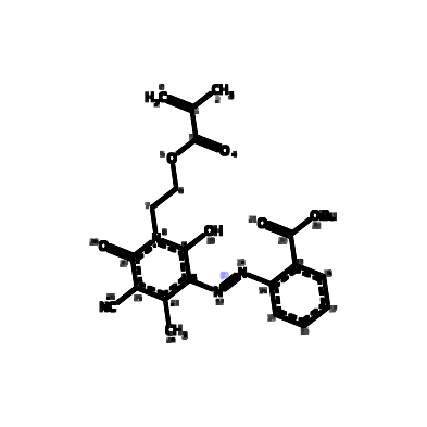 C=C(C)C(=O)OCCn1c(O)c(/N=N/c2ccccc2C(=O)OCC(C)C)c(C)c(C#N)c1=O